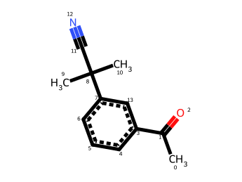 CC(=O)c1cccc(C(C)(C)C#N)c1